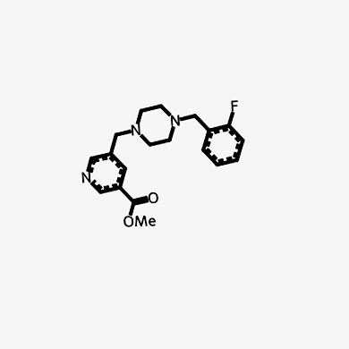 COC(=O)c1cncc(CN2CCN(Cc3ccccc3F)CC2)c1